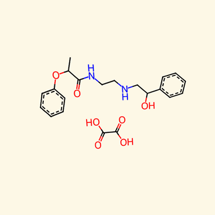 CC(Oc1ccccc1)C(=O)NCCNCC(O)c1ccccc1.O=C(O)C(=O)O